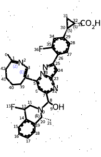 C/C1=N/C=C(/c2cc(C(O)N3CC(F)c4ccccc4[C@H]3C)nc3cc(-c4ccc([C@H]5C[C@@H]5C(=O)O)cc4F)nn23)CCCC1